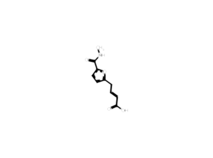 CNC(=O)c1ccc(C/C=C/C(=O)O)o1